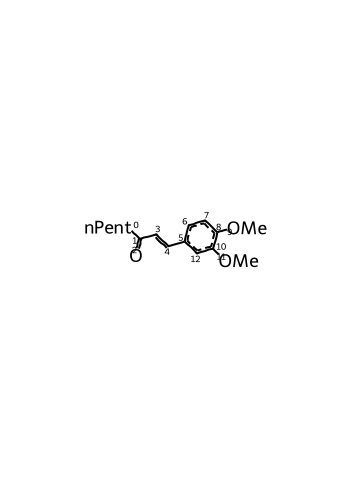 CCCCCC(=O)C=Cc1ccc(OC)c(OC)c1